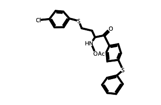 CC(=O)ONC(CCSc1ccc(Cl)cc1)C(=O)c1ccc(Sc2ccccc2)cc1